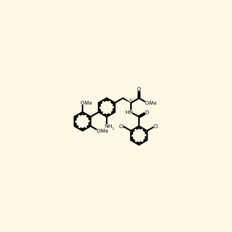 COC(=O)[C@H](Cc1ccc(-c2c(OC)cccc2OC)c(N)c1)NC(=O)c1c(Cl)cccc1Cl